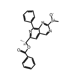 C[C@@H](OC(=O)c1ccccc1)c1cc2cnc([S+](C)[O-])nc2c(-c2ccccc2)n1